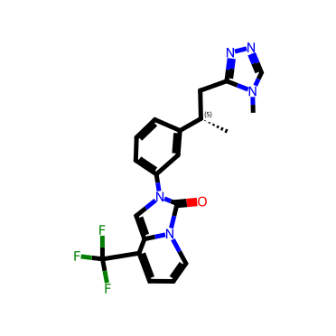 C[C@@H](Cc1nncn1C)c1cccc(-n2cc3c(C(F)(F)F)cccn3c2=O)c1